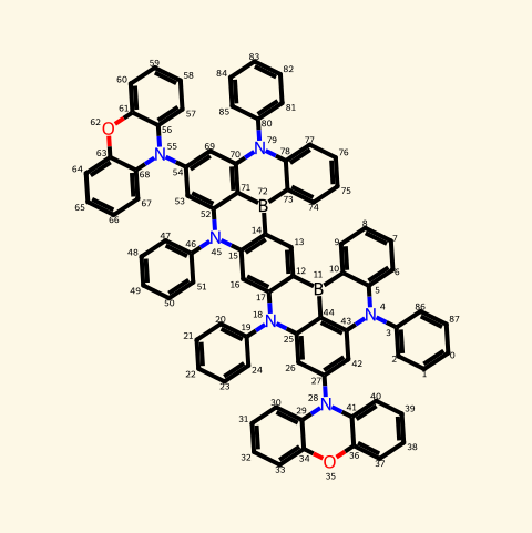 c1ccc(N2c3ccccc3B3c4cc5c(cc4N(c4ccccc4)c4cc(N6c7ccccc7Oc7ccccc76)cc2c43)N(c2ccccc2)c2cc(N3c4ccccc4Oc4ccccc43)cc3c2B5c2ccccc2N3c2ccccc2)cc1